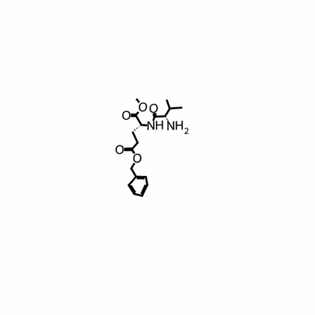 COC(=O)[C@@H](CCC(=O)OCc1ccccc1)NC(=O)[C@@H](N)C(C)C